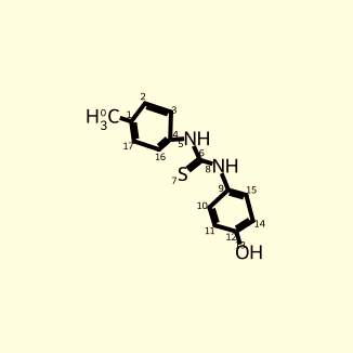 Cc1ccc(NC(=S)Nc2ccc(O)cc2)cc1